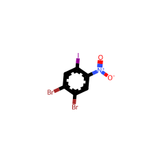 O=[N+]([O-])c1cc(Br)c(Br)cc1I